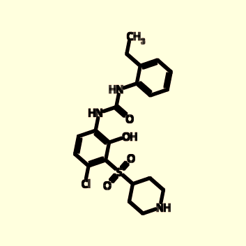 CCc1ccccc1NC(=O)Nc1ccc(Cl)c(S(=O)(=O)C2CCNCC2)c1O